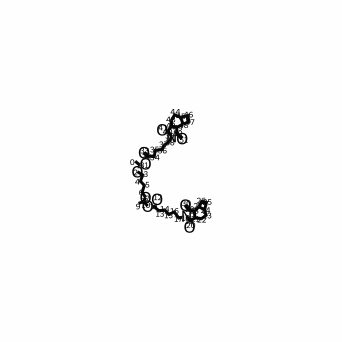 CC(OCCCCOC(C)OC(=O)CCCCCN1C(=O)C2CCC3C=CC3C2C1=O)OC(=O)CCCCCN1C(=O)C2CCC3C=CC3C2C1=O